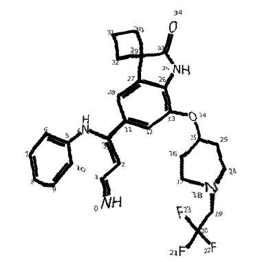 N=C/C=C(\Nc1ccccc1)c1cc(OC2CCN(CC(F)(F)F)CC2)c2c(c1)C1(CCC1)C(=O)N2